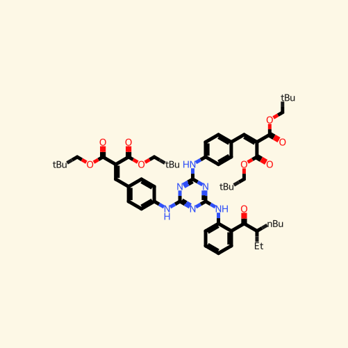 CCCCC(CC)C(=O)c1ccccc1Nc1nc(Nc2ccc(C=C(C(=O)OCC(C)(C)C)C(=O)OCC(C)(C)C)cc2)nc(Nc2ccc(C=C(C(=O)OCC(C)(C)C)C(=O)OCC(C)(C)C)cc2)n1